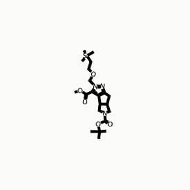 COC(=O)c1c2c(nn1COCC[Si](C)(C)C)CC1CN(C(=O)OC(C)(C)C)CC21